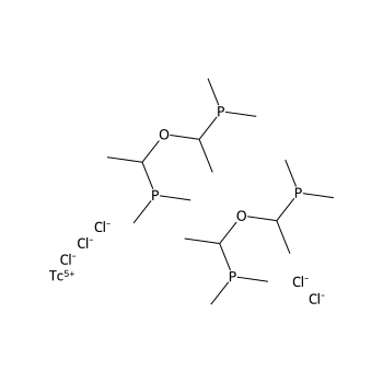 CC(OC(C)P(C)C)P(C)C.CC(OC(C)P(C)C)P(C)C.[Cl-].[Cl-].[Cl-].[Cl-].[Cl-].[Tc+5]